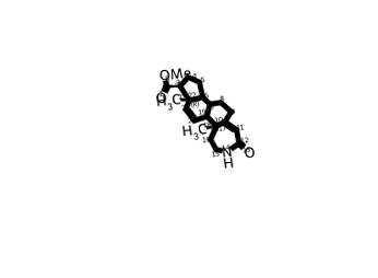 COC(=O)[C@H]1CCC2C3CCC4=CC(=O)NCC[C@]4(C)C3C=C[C@@]21C